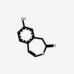 O=C1Cc2cc(O)ccc2C=C[N]1